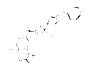 O=C1CO[C@H]2CCN(C(=O)N3CC(O)(c4ccc(Oc5ccccc5)cn4)C3)CC2N1